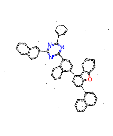 C1=CC(c2nc(-c3ccc4ccccc4c3)nc(-c3ccc(-c4ccc(-c5cccc6ccccc56)c5oc6ccccc6c45)c4ccccc34)n2)=CCC1